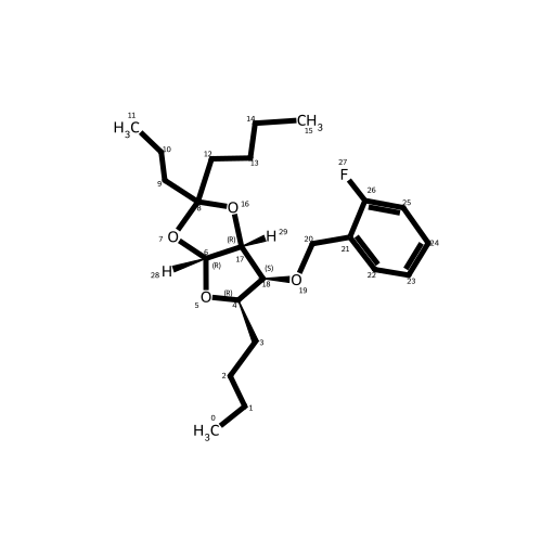 CCCC[C@H]1O[C@@H]2OC(CCC)(CCCC)O[C@@H]2[C@H]1OCc1ccccc1F